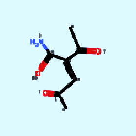 CC(=O)C=C(C(C)=O)C(N)=O